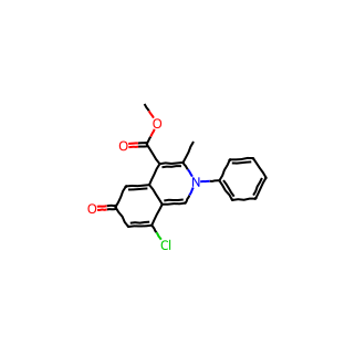 COC(=O)c1c2cc(=O)cc(Cl)c-2cn(-c2ccccc2)c1C